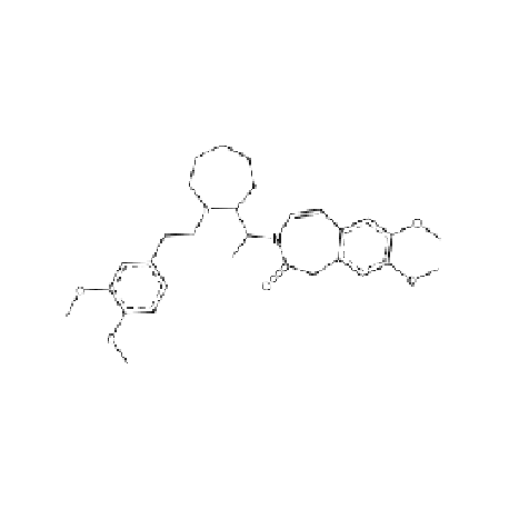 COc1ccc(CCN2CCCCCC2C(C)N2C=Cc3cc(OC)c(OC)cc3CC2=O)cc1OC